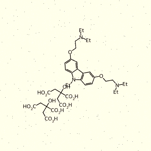 CCN(CC)CCOc1ccc2c(c1)c1cc(OCCN(CC)CC)ccc1n2CC.O=C(O)CC(O)(CC(=O)O)C(=O)O.O=C(O)CC(O)(CC(=O)O)C(=O)O